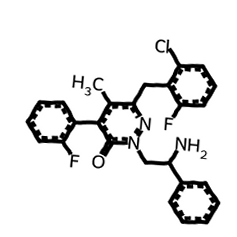 Cc1c(Cc2c(F)cccc2Cl)nn(CC(N)c2ccccc2)c(=O)c1-c1ccccc1F